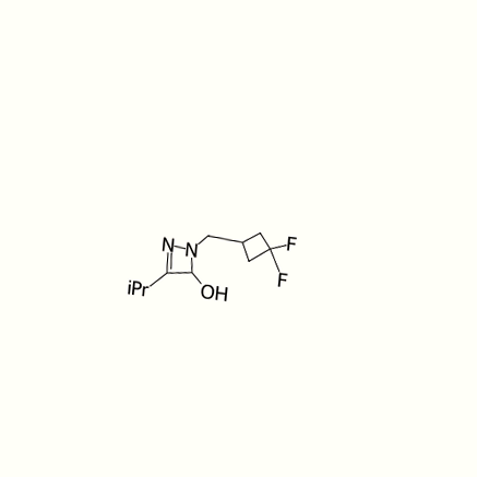 CC(C)C1=NN(CC2CC(F)(F)C2)C1O